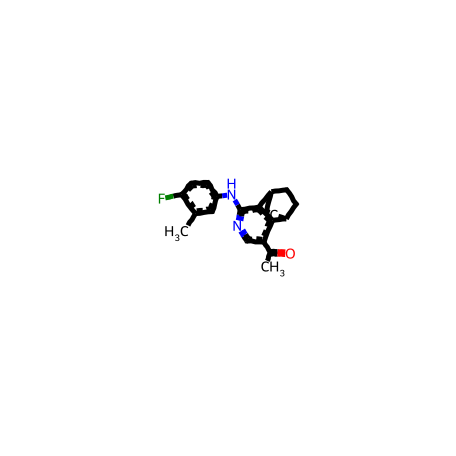 CC(=O)c1cnc(Nc2ccc(F)c(C)c2)c2c1C1CCC2CC1